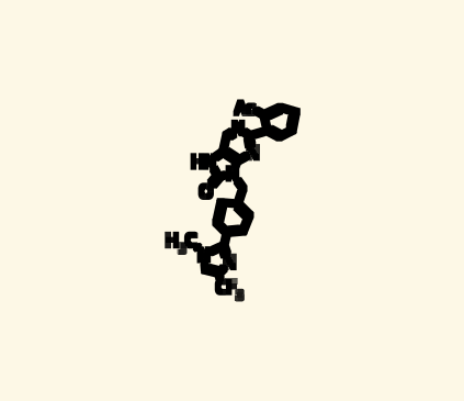 CC(=O)c1ccccc1-c1ncc2[nH]c(=O)n(Cc3ccc(-c4nc(C(F)(F)F)cn4C)cc3)c2n1